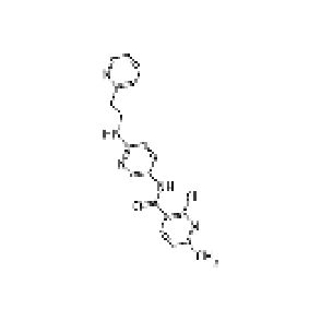 Cc1ccc(C(=O)Nc2ccc(NCCc3ccccn3)nc2)c(Cl)n1